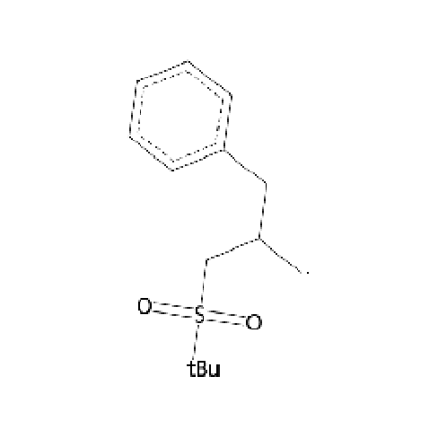 [CH2]C(Cc1ccccc1)CS(=O)(=O)C(C)(C)C